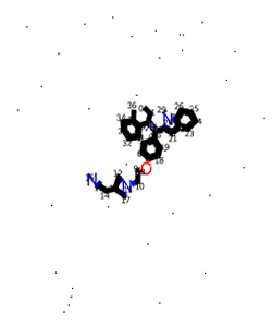 CC/C(=C(/c1ccc(OCCN2CC(CC#N)C2)cc1)c1cc2ccccc2n1C)c1ccccc1C